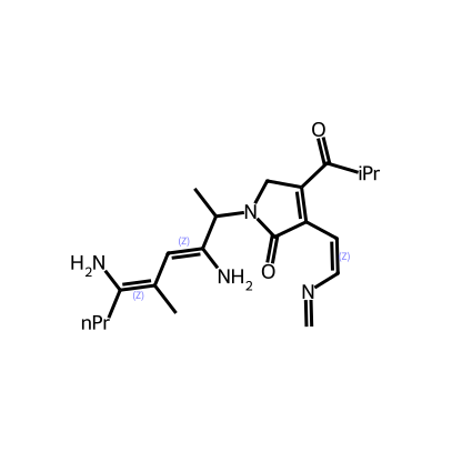 C=N/C=C\C1=C(C(=O)C(C)C)CN(C(C)/C(N)=C/C(C)=C(\N)CCC)C1=O